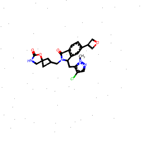 Cn1ncc(Cl)c1CC1c2cc(C3COC3)ccc2C(=O)N1CC1CC2(CNC(=O)O2)C1